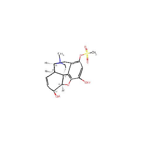 CN1CC[C@]23c4c5c(OS(C)(=O)=O)cc(O)c4O[C@H]2[C@@H](O)C=C[C@H]3[C@H]1C5